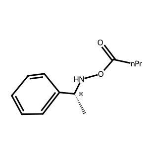 CCCC(=O)ON[C@H](C)c1ccccc1